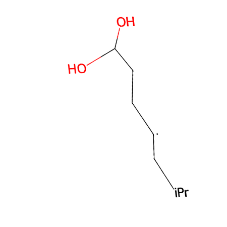 CC(C)C[CH]CCC(O)O